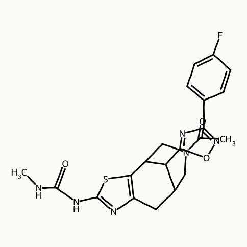 CNC(=O)Nc1nc2c(s1)C1CN(C(C)=O)CC(C2)C1c1nc(-c2ccc(F)cc2)no1